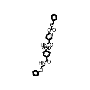 O=C(OCc1ccccc1)Oc1ccc(C(=O)NS(=O)(=O)c2ccc(C(=O)NCCOc3ccccc3)cc2)cn1